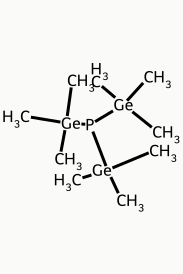 [CH3][Ge]([CH3])([CH3])[P]([Ge]([CH3])([CH3])[CH3])[Ge]([CH3])([CH3])[CH3]